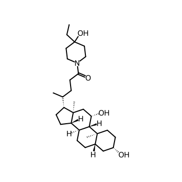 CCC1(O)CCN(C(=O)CCC(C)[C@H]2CC[C@H]3[C@@H]4CC[C@H]5C[C@@H](O)CC[C@]5(C)[C@H]4[C@@H](O)C[C@]23C)CC1